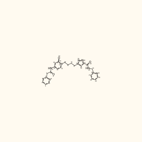 O=C(Cc1ccccn1)Nc1ccn(CCCCc2nnc(C(=O)NCc3ccccn3)s2)c(=O)c1